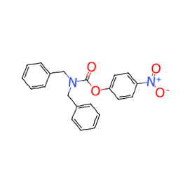 O=C(Oc1ccc([N+](=O)[O-])cc1)N(Cc1ccccc1)Cc1ccccc1